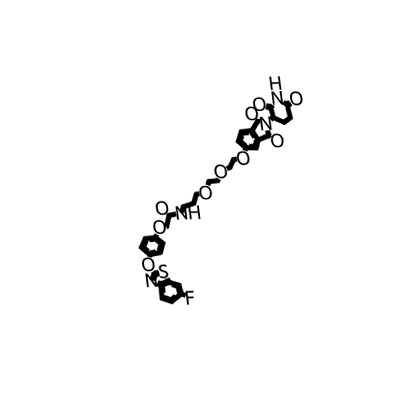 O=C(COc1ccc(Oc2nc3ccc(F)cc3s2)cc1)NCCCOCCOCCOc1ccc2c(c1)C(=O)N(C1CCC(=O)NC1=O)C2=O